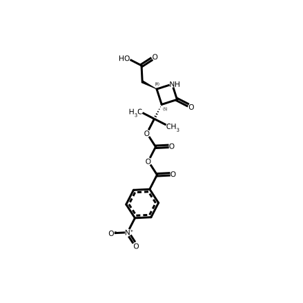 CC(C)(OC(=O)OC(=O)c1ccc([N+](=O)[O-])cc1)[C@H]1C(=O)N[C@@H]1CC(=O)O